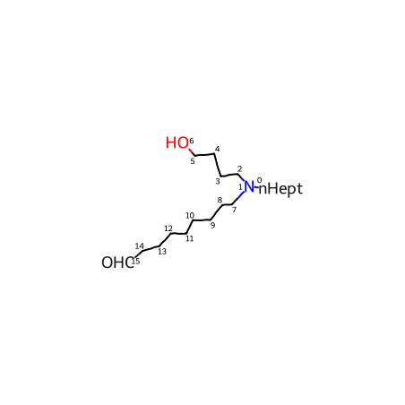 CCCCCCCN(CCCCO)CCCCCCCCC=O